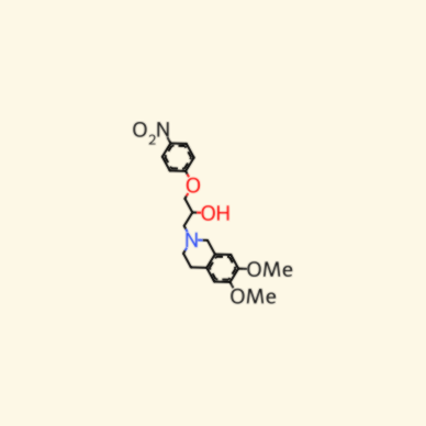 COc1cc2c(cc1OC)CN(CC(O)COc1ccc([N+](=O)[O-])cc1)CC2